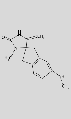 C=C1NC(=O)N(C)C12Cc1ccc(NC)cc1C2